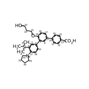 C[Si](C)(C)c1cc(-c2cc(-c3ccc(C(=O)O)cc3)ccc2OCCCO)ccc1N1CCCC1